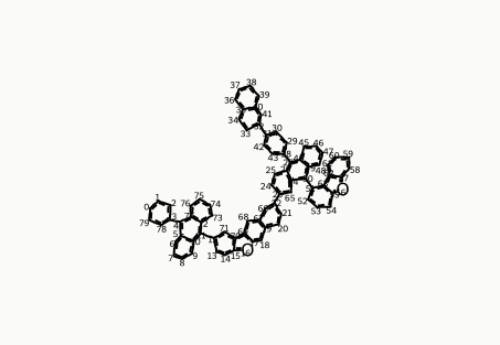 c1ccc(-c2c3ccccc3c(-c3ccc4oc5cc6ccc(-c7ccc8c(-c9ccc(-c%10ccc%11ccccc%11c%10)cc9)c9ccccc9c(-c9cccc%10oc%11ccccc%11c9%10)c8c7)cc6cc5c4c3)c3ccccc23)cc1